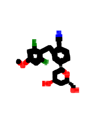 COc1cc(F)c(Cc2cc([C@H]3C[C@@H](O)C[C@@H](CO)O3)ccc2C#N)c(F)c1